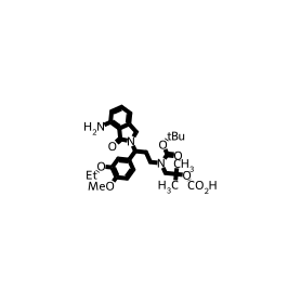 CCOc1cc(C(CCN(CC(C)(C)OC(=O)O)C(=O)OC(C)(C)C)N2Cc3cccc(N)c3C2=O)ccc1OC